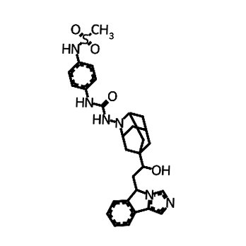 CS(=O)(=O)Nc1ccc(NC(=O)NN2C3CC4CC2CC(C(O)CC2c5ccccc5-c5cncn52)(C4)C3)cc1